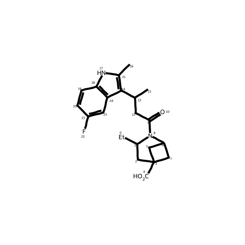 CCC1CC2(C(=O)O)CC(C2)N1C(=O)CC(C)c1c(C)[nH]c2ccc(F)cc12